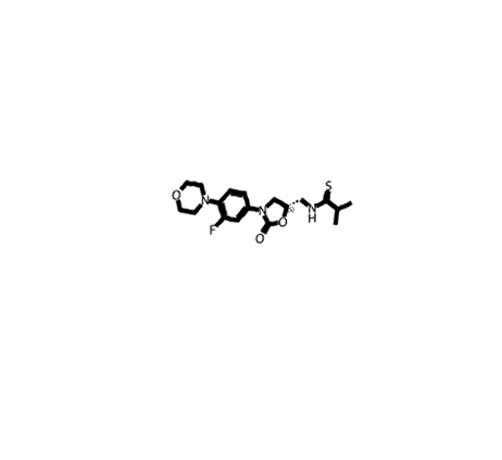 CC(C)C(=S)NC[C@H]1CN(c2ccc(N3CCOCC3)c(F)c2)C(=O)O1